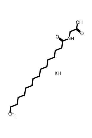 CCCCCCCCCCCCCCCC(=O)NCC(=O)O.[KH]